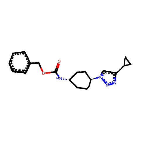 O=C(N[C@H]1CC[C@H](n2cc(C3CC3)nn2)CC1)OCc1ccccc1